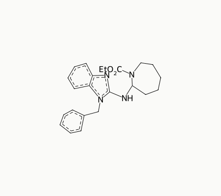 CCOC(=O)N1CCCCCC1Nc1nc2ccccc2n1Cc1ccccc1